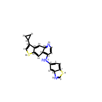 c1cc(Nc2ccc3scnc3c2)c2cc3scc(C4CC4)c3cc2n1